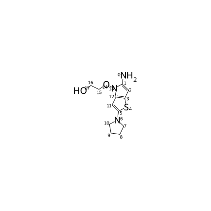 Nc1cc2sc(N3CCCC3)cc2n1OCCO